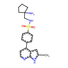 Cc1cc2c(-c3ccc(S(=O)(=O)NCC4(N)CCCC4)cc3)ccnc2[nH]1